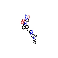 C[C@H]1CCC1(C)CN1CC[C@H](n2cc(Cc3ccc4c5c(cccc35)C(=O)N4C3CCC(=O)NC3=O)cn2)CC12CC2